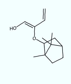 C=C/C(=C/O)OC1CC2CCC1(C)C2(C)C